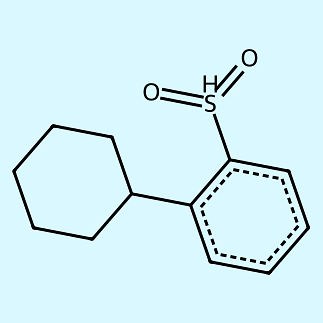 O=[SH](=O)c1ccccc1C1CCCCC1